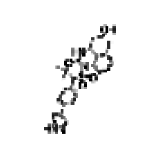 CC1(C)OC(N[C@@H](CCO)c2ccccc2F)=NS(=O)(=O)C1c1ccc(-c2cn[nH]c2)cc1